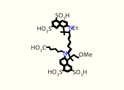 CCN1c2ccc3c(S(=O)(=O)O)cc(S(=O)(=O)O)cc3c2C(C)(C)C1C=CC=CC=C1N(CCCCCC(=O)O)c2ccc3c(S(=O)(=O)O)cc(S(=O)(=O)O)cc3c2C1(C)CCOC